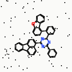 c1ccc(-c2nc(-c3ccccc3-c3cccc4oc5ccccc5c34)nc(-c3ccc4c5c(cccc35)-c3ccccc3-4)n2)cc1